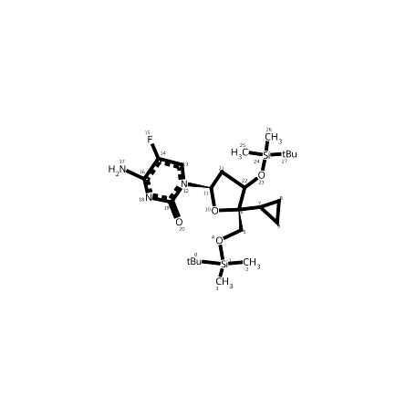 CC(C)(C)[Si](C)(C)OC[C@@]1(C2CC2)O[C@@H](n2cc(F)c(N)nc2=O)CC1O[Si](C)(C)C(C)(C)C